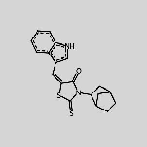 O=C1C(=Cc2c[nH]c3ccccc23)SC(=S)N1C1CC2CCC1C2